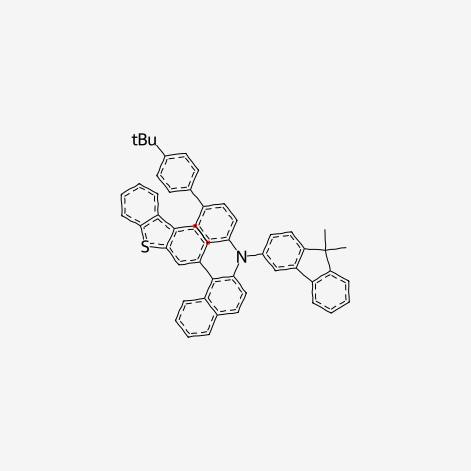 CC(C)(C)c1ccc(-c2ccc(N(c3ccc4c(c3)-c3ccccc3C4(C)C)c3ccc4ccccc4c3-c3ccc4c(c3)sc3ccccc34)cc2)cc1